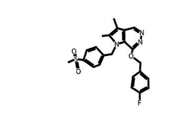 Cc1c(C)n(Cc2ccc(S(C)(=O)=O)cc2)c2c(OCc3ccc(F)cc3)nncc12